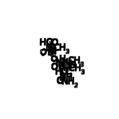 CC(=O)NC(C(=O)NC(CCCNC(N)=O)C(=O)Nc1ccc(CN2N=C(C)N(C(=O)O)N=C2c2ccccc2)cc1)C(C)C